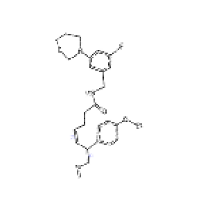 C=N/C=C(\C=C/CCC(=O)NCc1cc(F)cc(N2CCCCC2)c1)c1ccc(OCC)cc1